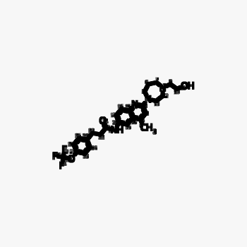 Cc1cc(N2CCCN(CCO)CC2)nc2ccc(NC(=O)CCc3ccc(OC(F)(F)F)cc3)cc12